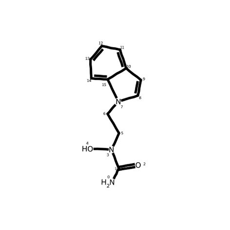 NC(=O)N(O)CCn1ccc2ccccc21